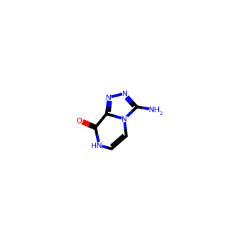 Nc1nnc2c(=O)[nH]ccn12